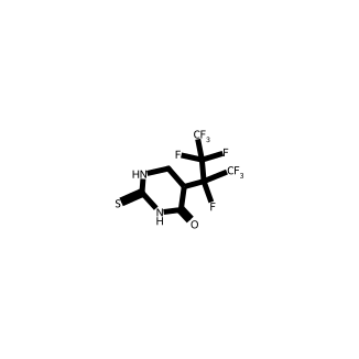 O=C1NC(=S)NCC1C(F)(C(F)(F)F)C(F)(F)C(F)(F)F